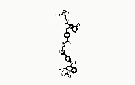 CCC(=O)N1c2ccccc2[C@H](Nc2ccc(-c3cnn(CCNC(=O)c4ccc(Cn5c(C(=O)OCCN(C)C)cc6c5CCCC6=O)cc4)c3)cc2)C[C@@H]1C